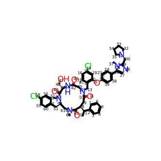 CC(c1ccccc1)[C@@H]1CC(=O)N(Cc2ccc(Cl)cc2Oc2ccc(-c3cnc(CN4CCCC4)n3C)cc2)[C@@H](C)C(=O)N[C@@H](CO)C(=O)N(C)[C@H](Cc2ccc(Cl)cc2)CN(C)C1=O